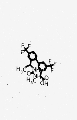 CCC(NC(=O)NC)c1cc(C(F)(F)F)ccc1-c1cc(CC(=O)O)cc(C(F)(F)F)c1